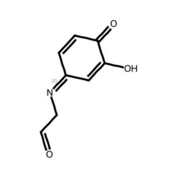 O=CC/N=C1/C=CC(=O)C(O)=C1